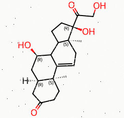 C[C@]12CC=C3C(C1CC[C@]2(O)C(=O)CO)[C@H](O)C[C@@H]1CC(=O)CC[C@]31C